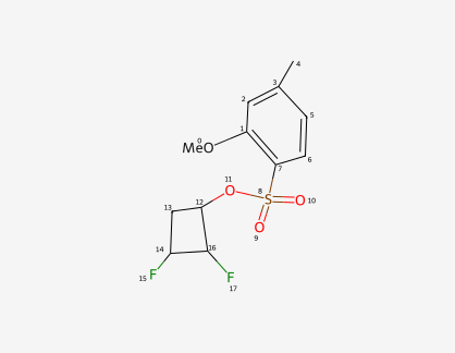 COc1cc(C)ccc1S(=O)(=O)OC1CC(F)C1F